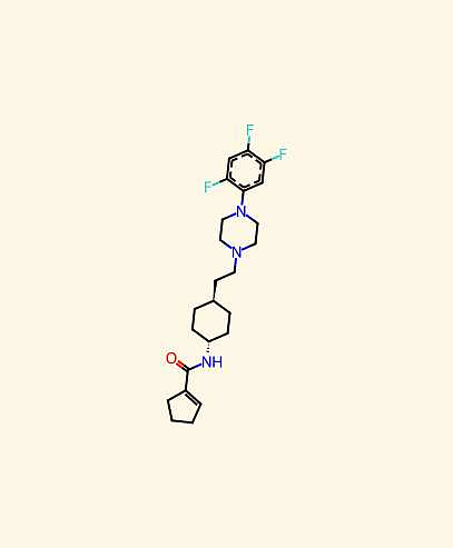 O=C(N[C@H]1CC[C@H](CCN2CCN(c3cc(F)c(F)cc3F)CC2)CC1)C1=CCCC1